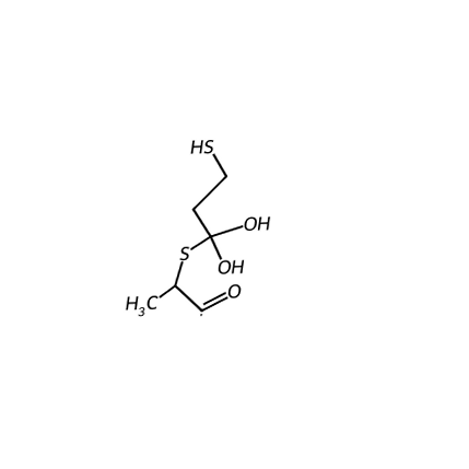 CC([C]=O)SC(O)(O)CCS